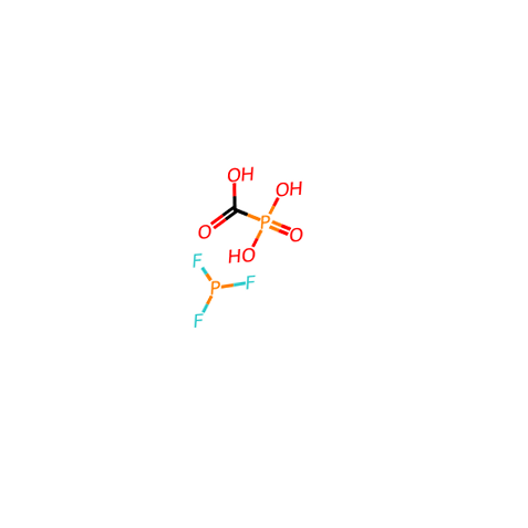 FP(F)F.O=C(O)P(=O)(O)O